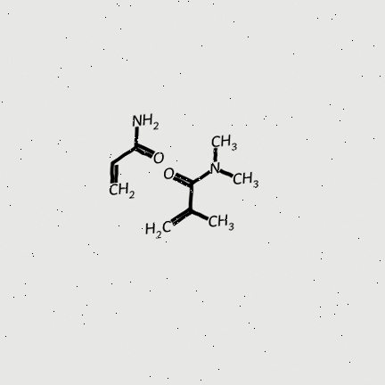 C=C(C)C(=O)N(C)C.C=CC(N)=O